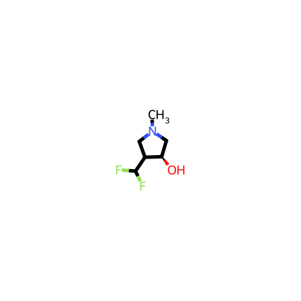 CN1CC(C(F)F)[C@H](O)C1